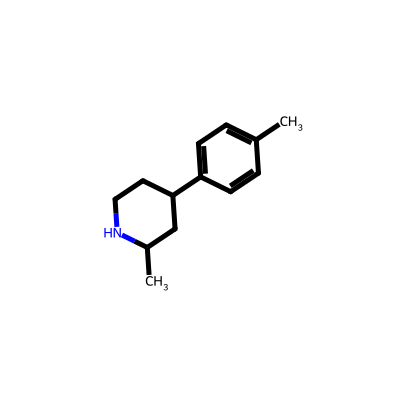 Cc1ccc(C2CCNC(C)C2)cc1